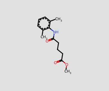 COC(=O)CCCC(=O)Nc1c(C)cccc1C